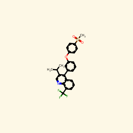 CC(C)c1cnc2c(C(F)(F)F)cccc2c1-c1cccc(Oc2ccc(S(C)(=O)=O)cc2)c1